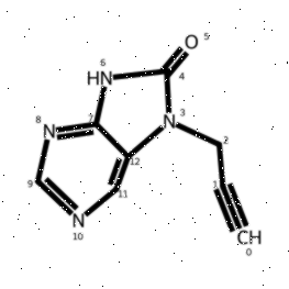 C#CCn1c(=O)[nH]c2ncncc21